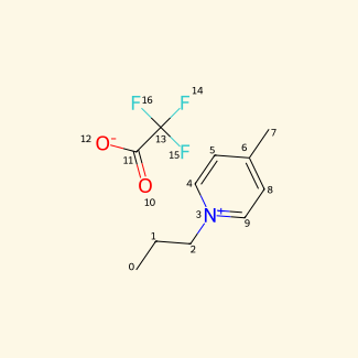 CCC[n+]1ccc(C)cc1.O=C([O-])C(F)(F)F